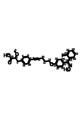 CO[C@@H](Cc1ccc(C#CCCCOc2ccc(/C(=N\O)c3ccccc3F)cc2)cc1)C(=O)O